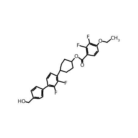 CCOc1ccc(C(=O)OC2CCC(c3ccc(-c4ccc(CO)cc4)c(F)c3F)CC2)c(F)c1F